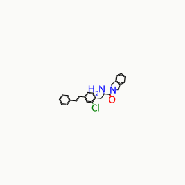 NC(Cc1ccc(/C=C/c2ccccc2)cc1Cl)C(=O)N1Cc2ccccc2C1